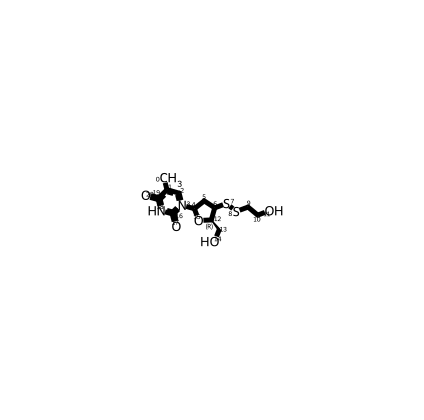 Cc1cn(C2CC(SSCCO)[C@@H](CO)O2)c(=O)[nH]c1=O